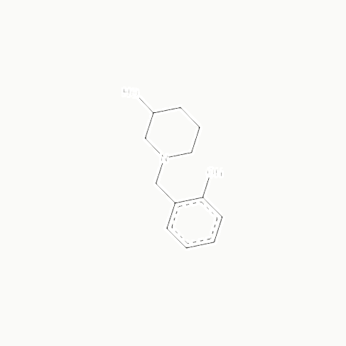 Oc1ccccc1CN1CCCC(O)C1